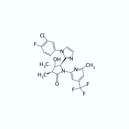 Cc1cc(C(F)(F)F)cc(N2C(=O)[C@@H](C)[C@@](C)(O)[C@H]2c2nccn2-c2ccc(F)c(Cl)c2)n1